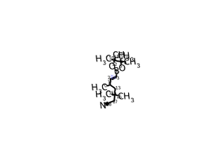 CC(/C=C/B1OC(C)(C)C(C)(C)O1)CC(C)(C)CC#N